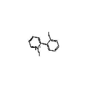 Ic1ccccc1-c1cccc[n+]1I